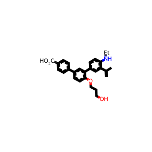 C=C(C)c1cc(-c2cc(-c3ccc(C(=O)O)cc3)ccc2OCCCO)ccc1NCC